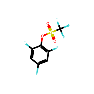 O=S(=O)(Oc1c(F)cc(F)cc1F)C(F)(F)F